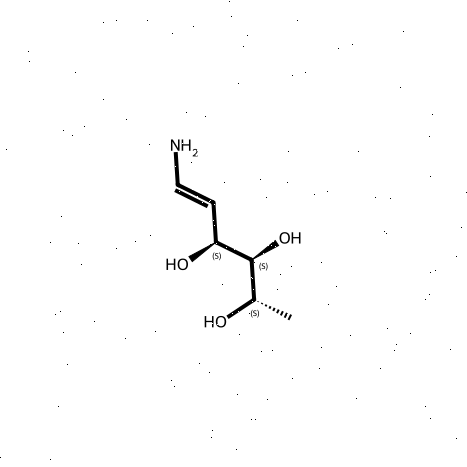 C[C@H](O)[C@H](O)[C@@H](O)C=CN